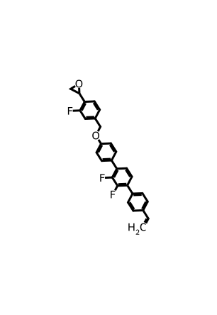 C=Cc1ccc(-c2ccc(-c3ccc(OCc4ccc(C5CO5)c(F)c4)cc3)c(F)c2F)cc1